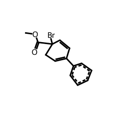 COC(=O)C1(Br)C=CC(c2ccccc2)=CC1